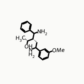 COc1cccc(C(N)C[C@@H](C(N)c2ccccc2)[C@@H](C)O)c1